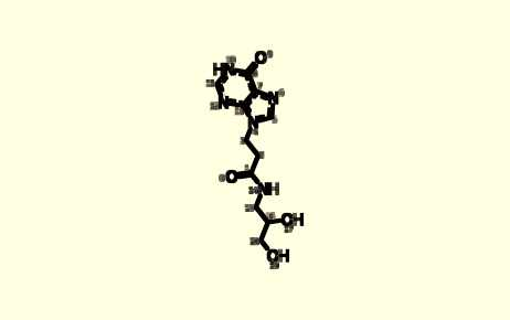 O=C(CCn1cnc2c(=O)[nH]cnc21)NCC(O)CO